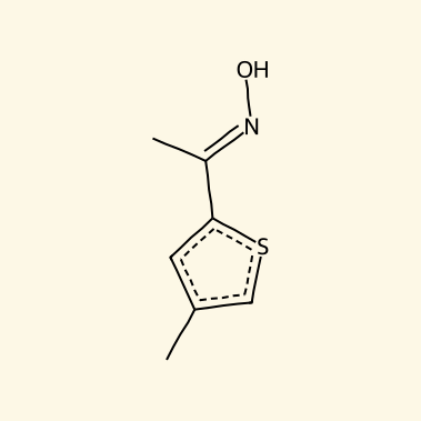 C/C(=N\O)c1cc(C)cs1